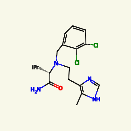 Cc1[nH]cnc1CCN(Cc1cccc(Cl)c1Cl)[C@H](C(N)=O)C(C)C